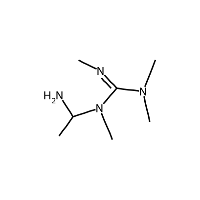 CN=C(N(C)C)N(C)C(C)N